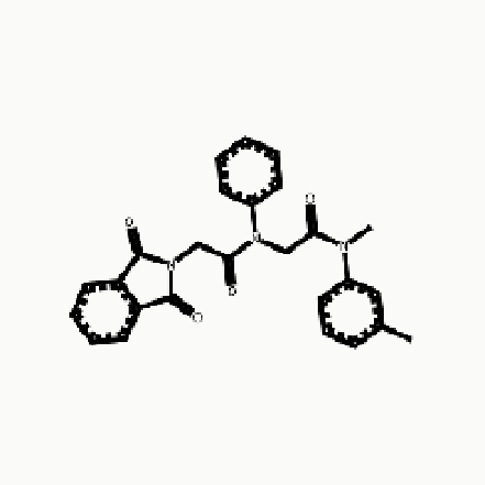 Cc1cccc(N(C)C(=O)CN(C(=O)CN2C(=O)c3ccccc3C2=O)c2ccccc2)c1